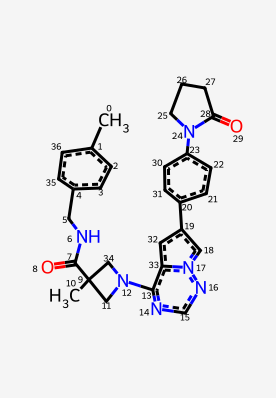 Cc1ccc(CNC(=O)C2(C)CN(c3ncnn4cc(-c5ccc(N6CCCC6=O)cc5)cc34)C2)cc1